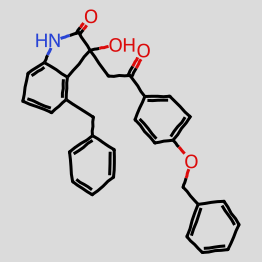 O=C(CC1(O)C(=O)Nc2cccc(Cc3ccccc3)c21)c1ccc(OCc2ccccc2)cc1